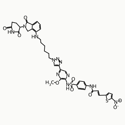 COc1nc(-c2cn(CCCCCCNc3cccc4c3CN(C3CCC(=O)NC3=O)C4=O)nn2)cnc1NS(=O)(=O)c1ccc(NC(=O)/C=C/c2ccc([N+](=O)[O-])s2)cc1